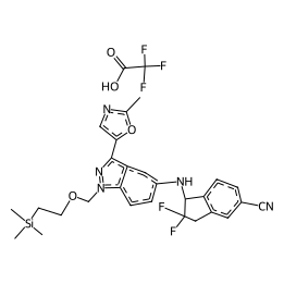 Cc1ncc(-c2nn(COCC[Si](C)(C)C)c3ccc(NC4c5ccc(C#N)cc5CC4(F)F)cc23)o1.O=C(O)C(F)(F)F